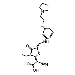 CCn1c(=C(C#N)C(=O)O)sc(=CNc2cccc(OCCN3CCCC3)c2)c1=O